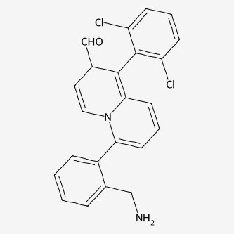 NCc1ccccc1C1=CC=CC2=C(c3c(Cl)cccc3Cl)C(C=O)C=CN12